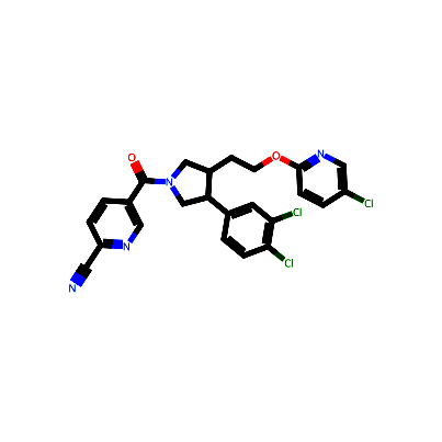 N#Cc1ccc(C(=O)N2CC(CCOc3ccc(Cl)cn3)C(c3ccc(Cl)c(Cl)c3)C2)cn1